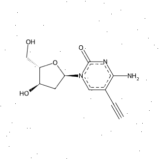 C#Cc1cn([C@H]2C[C@@H](O)[C@H](CO)O2)c(=O)nc1N